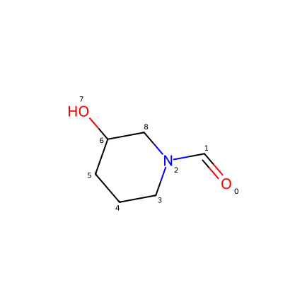 O=CN1CCCC(O)C1